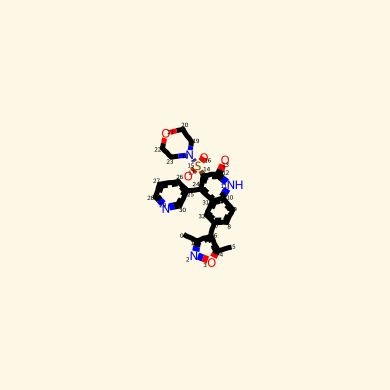 Cc1noc(C)c1-c1ccc2[nH]c(=O)c(S(=O)(=O)N3CCOCC3)c(-c3cccnc3)c2c1